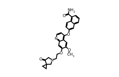 COc1cc2c(Oc3ccc4c(C(N)=O)cccc4c3)ccnc2cc1OCCN1CC(=O)C2(CC2)C1